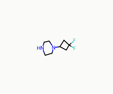 FC1(F)CC(N2CCNCC2)C1